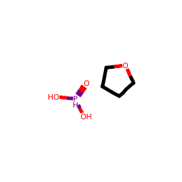 C1CCOC1.O=[PH](O)O